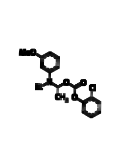 CCN(c1cccc(OC)c1)C(C)OC(=O)Oc1ccccc1Cl